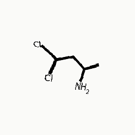 CC(N)CC(Cl)Cl